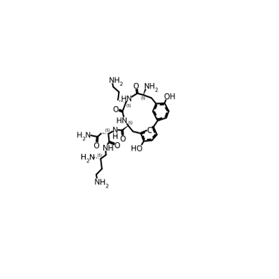 NCCC[C@@H]1NC(=O)[C@@H](N)Cc2cc(ccc2O)-c2ccc(O)c(c2)C[C@@H](C(=O)N[C@@H](CC(N)=O)C(=O)NC[C@@H](N)CCN)NC1=O